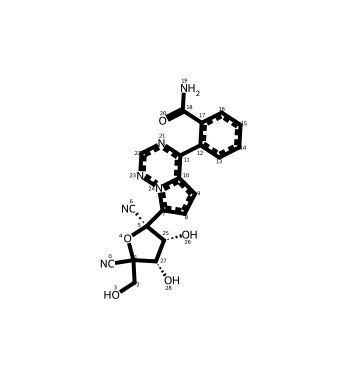 N#CC1(CO)O[C@@](C#N)(c2ccc3c(-c4ccccc4C(N)=O)ncnn23)[C@H](O)[C@@H]1O